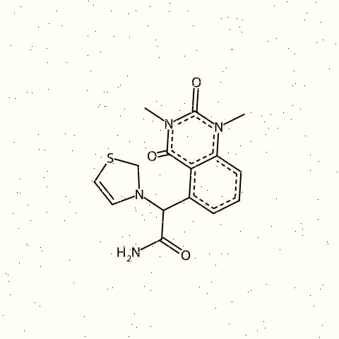 Cn1c(=O)c2c(C(C(N)=O)N3C=CSC3)cccc2n(C)c1=O